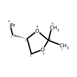 CC(C)C[C@H]1COC(C)(C)O1